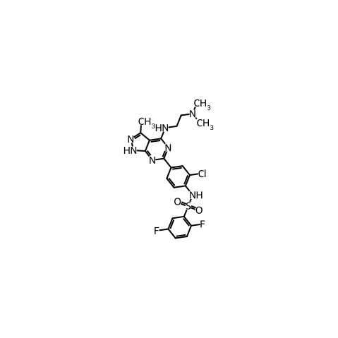 Cc1n[nH]c2nc(-c3ccc(NS(=O)(=O)c4cc(F)ccc4F)c(Cl)c3)nc(NCCN(C)C)c12